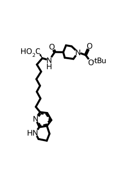 CC(C)(C)OC(=O)N1CCC(C(=O)N[C@@H](CCCCCCCc2ccc3c(n2)NCCC3)C(=O)O)CC1